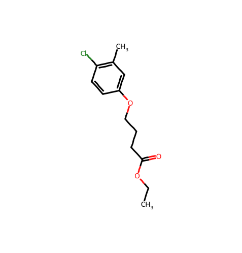 CCOC(=O)CCCOc1ccc(Cl)c(C)c1